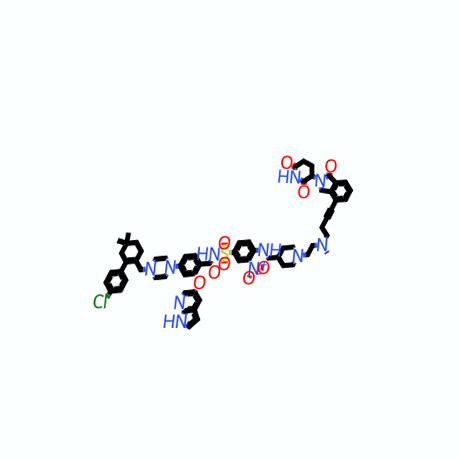 CN(CCC#Cc1cccc2c1CN(C1CCC(=O)NC1=O)C2=O)CCN1CCC(CNc2ccc(S(=O)(=O)NC(=O)c3ccc(N4CCN(CC5=C(c6ccc(Cl)cc6)CC(C)(C)CC5)CC4)cc3Oc3cnc4[nH]ccc4c3)cc2[N+](=O)[O-])CC1